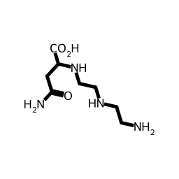 NCCNCCNC(CC(N)=O)C(=O)O